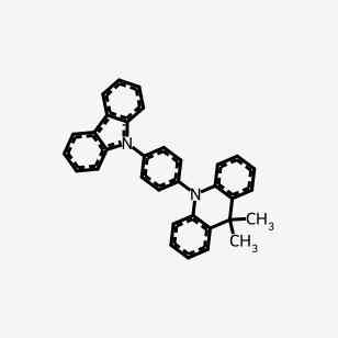 CC1(C)c2ccccc2N(c2ccc(-n3c4ccccc4c4ccccc43)cc2)c2ccccc21